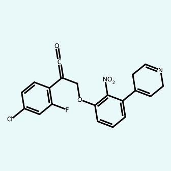 O=C=C(COc1cccc(C2=CCN=CC2)c1[N+](=O)[O-])c1ccc(Cl)cc1F